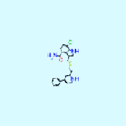 NC(=O)c1ccc(Cl)c2[nH]cc(CSCCC3CC(c4ccccc4)=CCN3)c12